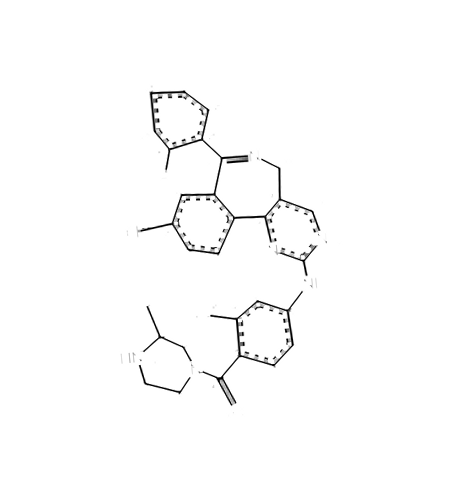 CC1CN(C(=O)c2ccc(Nc3ncc4c(n3)-c3ccc(Cl)cc3C(c3ccccc3F)=NC4)cc2Cl)CCN1